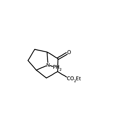 CCOC(=O)C1CC2CCC(C1=O)N2P